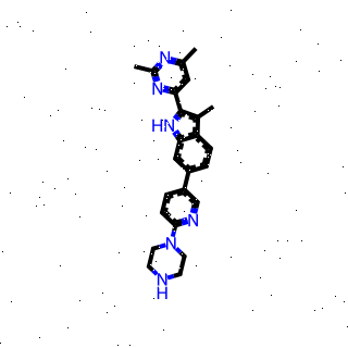 Cc1cc(-c2[nH]c3cc(-c4ccc(N5CCNCC5)nc4)ccc3c2C)nc(C)n1